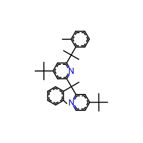 Cc1ccccc1C(C)(C)c1cc(C(C)(C)C)cc(C(C)(c2cc(C(C)(C)C)ccn2)c2ccccc2C)n1